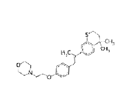 CC(=Cc1ccc(OCCN2CCOCC2)cc1)c1ccc2c(c1)SCCC2(C)C